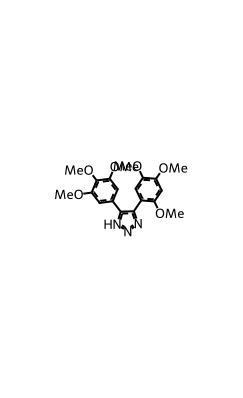 COc1cc(OC)c(-c2nn[nH]c2-c2cc(OC)c(OC)c(OC)c2)cc1OC